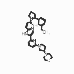 CCC1=CC=CC(C2CCCN2C(=N)/C=C\c2ncc(-c3cccc(N4CCC(N5CCOCC5)C4)n3)[nH]2)C1